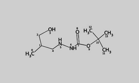 CC(CO)CNNC(=O)OC(C)(C)C